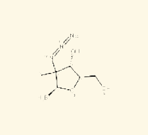 B[C@@H]1O[C@H](CO)[C@@H](O)C1(C)N=[N+]=[N-]